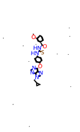 COc1cccc(C(=O)NC(=S)Nc2ccc(Oc3ncnc4c3ncn4CC3CC3)cc2)c1